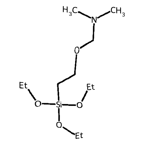 CCO[Si](CCOCN(C)C)(OCC)OCC